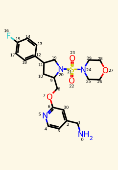 NCc1ccnc(OCC2CC(c3ccc(F)cc3)CN2S(=O)(=O)N2CCOCC2)c1